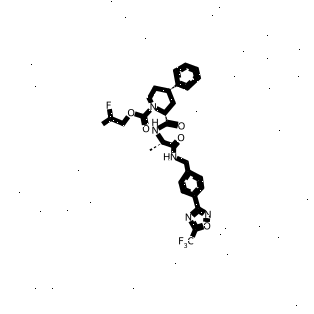 CC(F)COC(=O)N1CC[C@H](c2ccccc2)C[C@@H]1C(=O)N[C@@H](C)C(=O)NCc1ccc(-c2noc(C(F)(F)F)n2)cc1